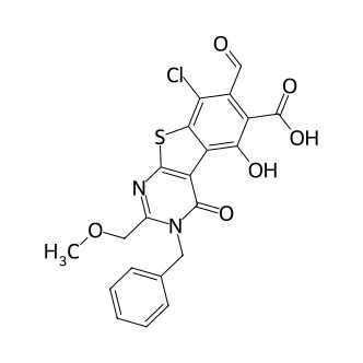 COCc1nc2sc3c(Cl)c(C=O)c(C(=O)O)c(O)c3c2c(=O)n1Cc1ccccc1